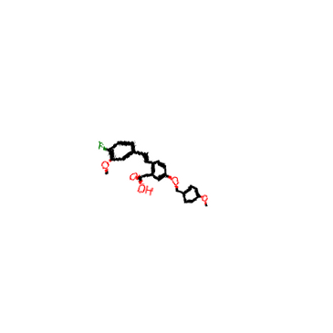 COc1ccc(COc2ccc(C=Cc3ccc(F)c(OC)c3)c(C(=O)O)c2)cc1